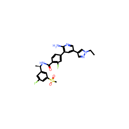 CCn1cc(-c2cnc(N)c(-c3ccc(C(=O)N[C@H](C)c4cc(F)cc(S(C)(=O)=O)c4)c(F)c3)c2)cn1